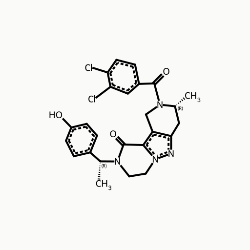 C[C@@H]1Cc2nn3c(c2CN1C(=O)c1ccc(Cl)c(Cl)c1)C(=O)N([C@H](C)c1ccc(O)cc1)CC3